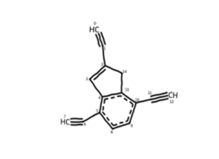 C#CC1=Cc2c(C#C)ccc(C#C)c2C1